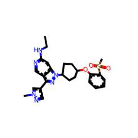 CCNc1cc2c(cn1)c(-c1cnn(C)c1)nn2C1CCC(Oc2ccccc2S(C)(=O)=O)CC1